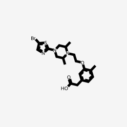 Cc1ccc(CC(=O)O)cc1OCCN1C(C)CN(c2ncc(Br)s2)CC1C